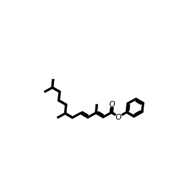 CC(/C=C/CC(C)CCCC(C)C)=C\C(=O)Oc1ccccc1